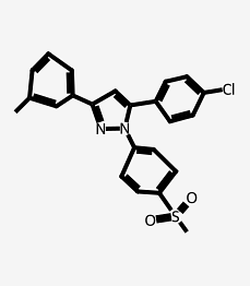 Cc1cccc(-c2cc(-c3ccc(Cl)cc3)n(-c3ccc(S(C)(=O)=O)cc3)n2)c1